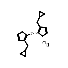 C1=CC(CC2CC2)=[C]([Zr+2][C]2=C(CC3CC3)C=CC2)C1.[Cl-].[Cl-]